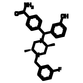 C[C@@H]1CN(C(c2ccc(C(N)=O)cc2)c2cccc(O)c2)[C@@H](C)CN1Cc1cccc(F)c1